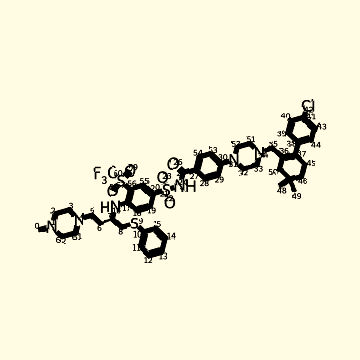 CN1CCN(CC[C@H](CSc2ccccc2)Nc2ccc(S(=O)(=O)NC(=O)c3ccc(N4CCN(CC5=C(c6ccc(Cl)cc6)CCC(C)(C)C5)CC4)cc3)cc2S(=O)(=O)C(F)(F)F)CC1